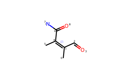 C/C(C=O)=C(\C)C([N])=O